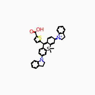 C[Si]1(C)C2=C/C(=[N+]3\CCc4ccccc43)C=CC2=C(c2ccc(C(=O)O)s2)c2ccc(N3CCc4ccccc43)cc21